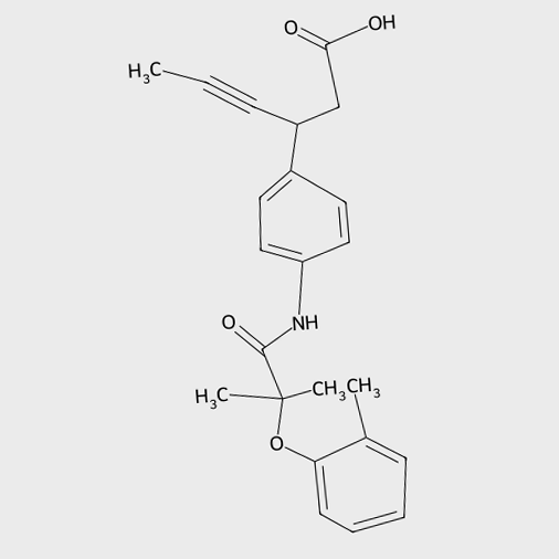 CC#CC(CC(=O)O)c1ccc(NC(=O)C(C)(C)Oc2ccccc2C)cc1